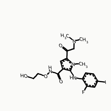 CN(C)CC(=O)c1cc(C(=O)NOCCO)c(Nc2ccc(I)cc2F)n1C